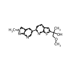 COCC(C)(O)c1cc2ccc(-c3cnc4nn(C)cc4c3)nc2s1